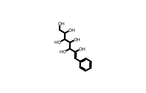 OCC(O)C(O)C(O)C(O)C(O)=Cc1ccccc1